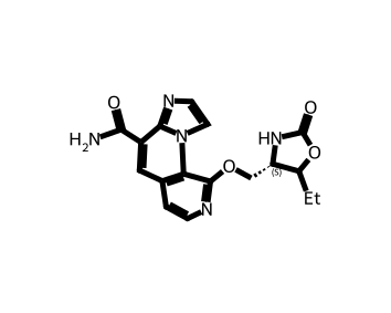 CCC1OC(=O)N[C@H]1COc1nccc2cc(C(N)=O)c3nccn3c12